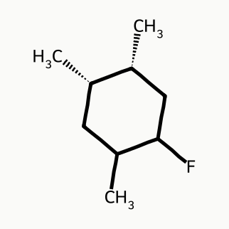 CC1C[C@H](C)[C@H](C)CC1F